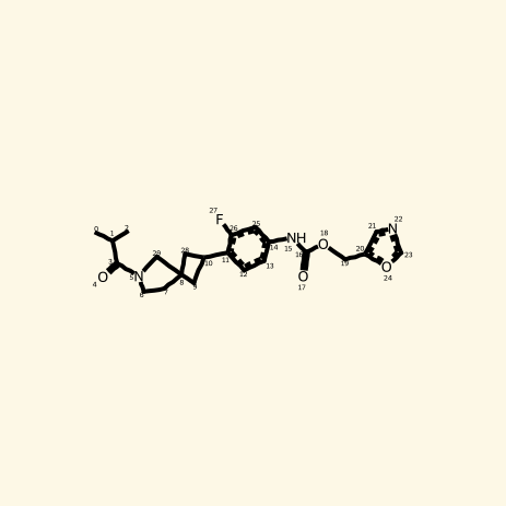 CC(C)C(=O)N1CCC2(CC(c3ccc(NC(=O)OCc4cnco4)cc3F)C2)C1